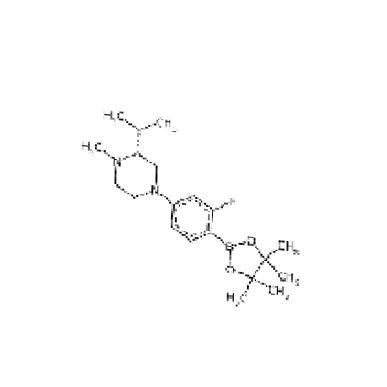 CC(C)[C@@H]1CN(c2ccc(B3OC(C)(C)C(C)(C)O3)c(F)c2)CCN1C